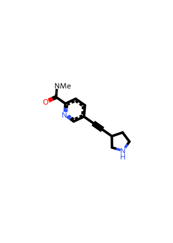 CNC(=O)c1ccc(C#CC2CCNC2)cn1